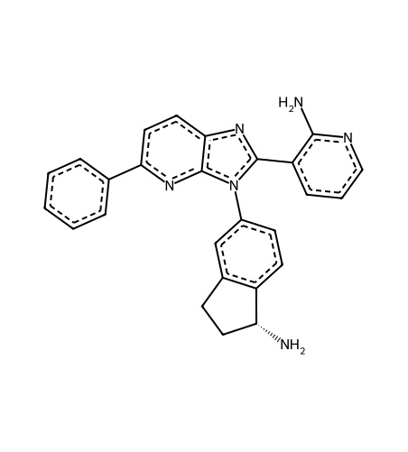 Nc1ncccc1-c1nc2ccc(-c3ccccc3)nc2n1-c1ccc2c(c1)CC[C@H]2N